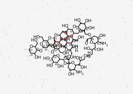 CC1C(O)[C@H](O[C@@H]2OC(CO[C@]3(C(=O)O)C[C@@H](O)[C@@H](N)C([C@H](O)C(O)CO)O3)[C@H](O)C(O)[C@@H]2O)[C@H](CO)O[C@H]1O[C@@H]1C(O)[C@H](O)C(CO)O[C@@H]1OCC1O[C@@H](O[C@@H]2C(CO)O[C@@H](O[C@@H]3C(CO)O[C@@H](C)[C@@H](C)C3O)[C@@H](C)C2O)[C@H](O)C(O[C@H]2O[C@H](CO)[C@@H](O)C(O)C2O[C@@H]2OC(CO)[C@@H](O[C@@H]3OC(CO[C@]4(C=O)C[C@@H](O)[C@@H](N)C([C@H](O)C(O)CO)O4)[C@H](O)C(O)[C@@H]3O)C(O)[C@@H]2C)[C@@H]1O